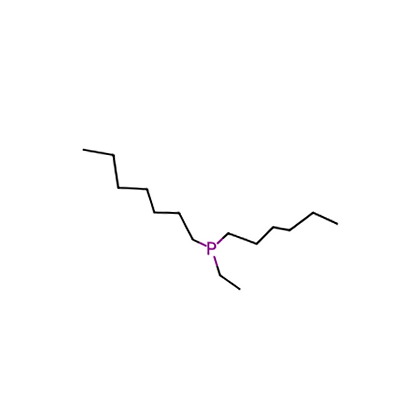 CCCCCCCP(CC)CCCCCC